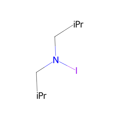 CC(C)CN(I)CC(C)C